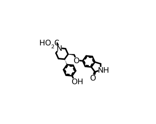 O=C1NCc2ccc(OC[C@@H]3CN(C(=O)O)CC[C@H]3c3ccc(O)cc3)cc21